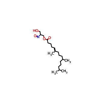 C/C(=C\CCCC(=O)OCC(CO)N=O)CCCC(C)CCCC(C)C